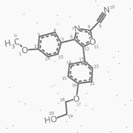 COc1ccc(-c2nc(C#N)oc2-c2ccc(OCCO)cc2)cc1